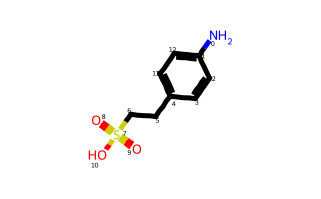 Nc1ccc(CCS(=O)(=O)O)cc1